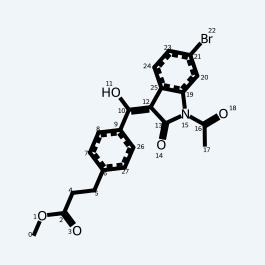 COC(=O)CCc1ccc(/C(O)=C2\C(=O)N(C(C)=O)c3cc(Br)ccc32)cc1